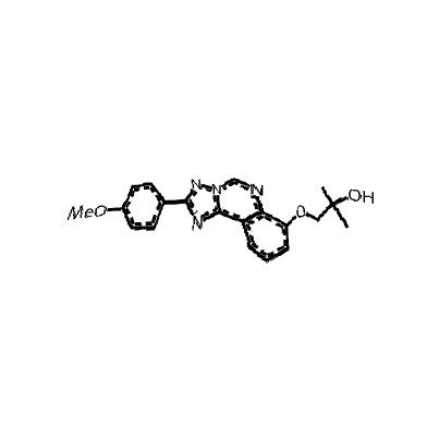 COc1ccc(-c2nc3c4cccc(OCC(C)(C)O)c4ncn3n2)cc1